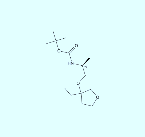 C[C@@H](COC1(CI)CCOC1)NC(=O)OC(C)(C)C